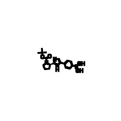 CC(C)(C)OC(=O)N1CCC[C@H]1c1ncc(-c2ccc(B(O)O)cc2)[nH]1